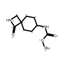 CC(C)(C)OC(=O)NC1CCC2(CC1)CNC2=O